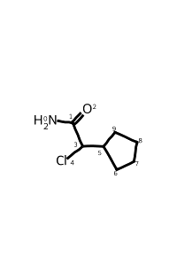 NC(=O)C(Cl)C1CCCC1